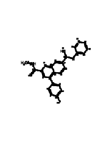 CNC(=O)c1cc(-c2ccc(F)cc2)c2ccc(C(O)Cc3cccnc3)cc2n1